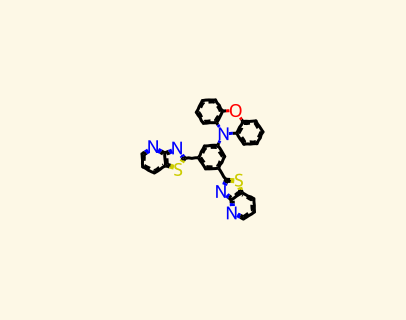 c1ccc2c(c1)Oc1ccccc1N2c1cc(-c2nc3ncccc3s2)cc(-c2nc3ncccc3s2)c1